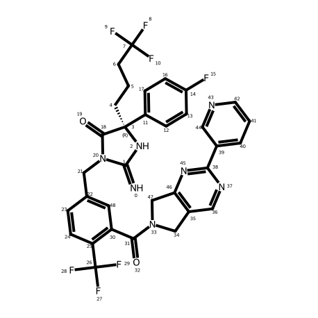 N=C1N[C@](CCCC(F)(F)F)(c2ccc(F)cc2)C(=O)N1Cc1ccc(C(F)(F)F)c(C(=O)N2Cc3cnc(-c4cccnc4)nc3C2)c1